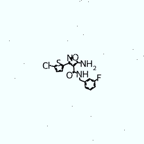 Nc1onc(-c2ccc(Cl)s2)c1C(=O)NCc1cccc(F)c1